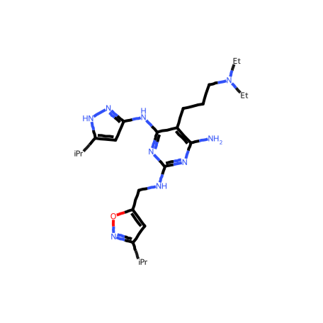 CCN(CC)CCCc1c(N)nc(NCc2cc(C(C)C)no2)nc1Nc1cc(C(C)C)[nH]n1